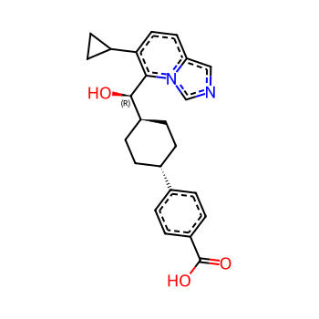 O=C(O)c1ccc([C@H]2CC[C@H]([C@@H](O)c3c(C4CC4)ccc4cncn34)CC2)cc1